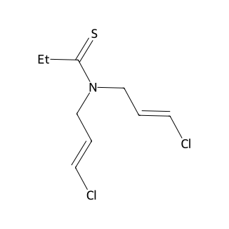 CCC(=S)N(CC=CCl)CC=CCl